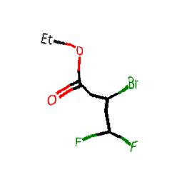 CCOC(=O)C(Br)C(F)F